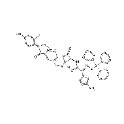 Nc1nc(C(=NOC(c2ccccc2)(c2ccccc2)c2ccccc2)C(=O)N[C@@H]2C(=O)N3C(C(=O)O)=C(C=C4CCN(c5ccc(O)cc5F)C4=O)CS[C@H]23)cs1